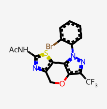 CC(=O)Nc1nc2c(s1)-c1c(c(C(F)(F)F)nn1-c1ccccc1Br)OC2